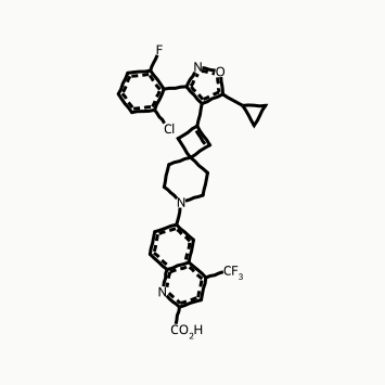 O=C(O)c1cc(C(F)(F)F)c2cc(N3CCC4(C=C(c5c(-c6c(F)cccc6Cl)noc5C5CC5)C4)CC3)ccc2n1